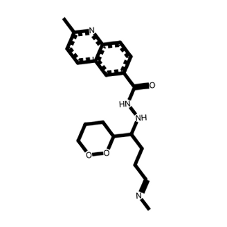 CN=CCCC(NNC(=O)c1ccc2nc(C)ccc2c1)C1CCCOO1